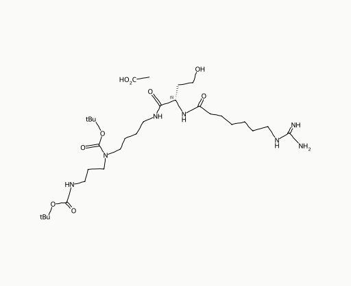 CC(=O)O.CC(C)(C)OC(=O)NCCCN(CCCCNC(=O)[C@H](CCO)NC(=O)CCCCCCNC(=N)N)C(=O)OC(C)(C)C